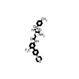 Cc1ccc(S(=O)(=O)N[C@@H](CCC(=O)Nc2ccc(C(F)(F)F)c(-c3ccc(N4CCOCC4)cc3)c2)C(N)=O)cc1